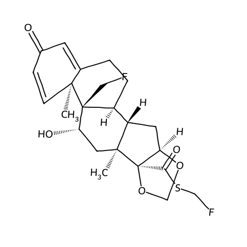 C[C@]12C=CC(=O)C=C1CC[C@H]1[C@@H]3C[C@H]4OCO[C@@]4(C(=O)SCF)[C@@]3(C)C[C@H](O)[C@@]12CF